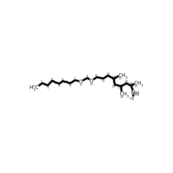 CCCCCCCCOCOCCCC(C)CC(C)C[CH](C)[Mg][I]